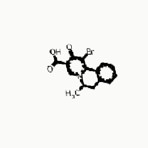 CC1Cc2ccccc2-c2c(Br)c(=O)c(C(=O)O)cn21